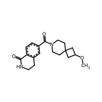 COC1CC2(CCN(C(=O)c3ccc4c(c3)CCNC4=O)CC2)C1